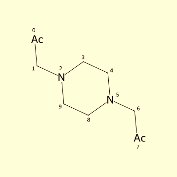 CC(=O)CN1CCN(CC(C)=O)CC1